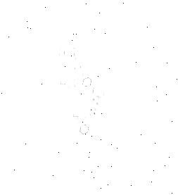 COCCOCOc1ccc(C=CC(=O)N2CCN(CC(O)c3ccccc3)CC2)cc1OC